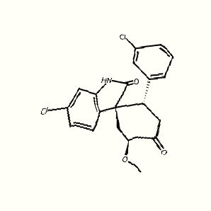 CO[C@H]1C[C@@]2(C(=O)Nc3cc(Cl)ccc32)[C@H](c2cccc(Cl)c2)CC1=O